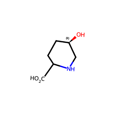 O=C(O)C1CC[C@@H](O)CN1